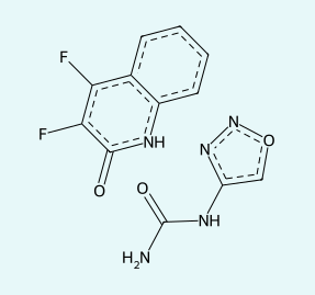 NC(=O)Nc1conn1.O=c1[nH]c2ccccc2c(F)c1F